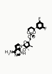 C[C@@H]1[C@@H](COP2(=O)OCC[C@H](c3cc(F)cc(F)c3)O2)O[C@@H](n2ccc3c(N)ncnc32)[C@]1(C)O